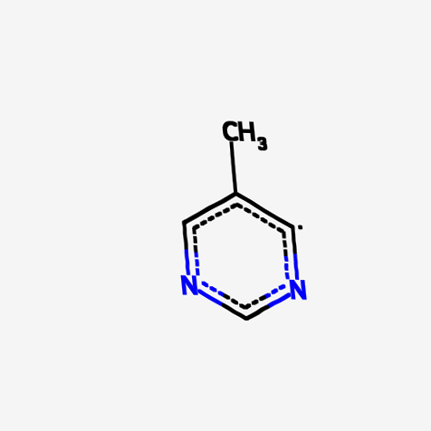 Cc1[c]ncnc1